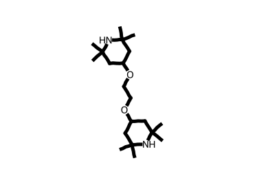 CC1(C)CC(OCCOC2CC(C)(C)NC(C)(C)C2)CC(C)(C)N1